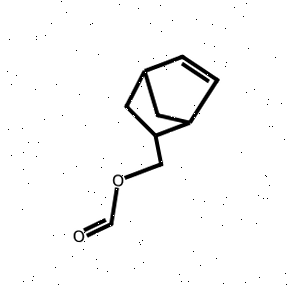 O=COCC1CC2C=CC1C2